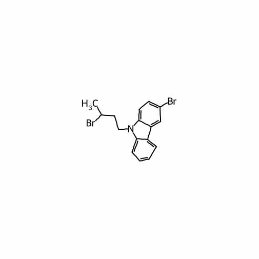 CC(Br)CCn1c2ccccc2c2cc(Br)ccc21